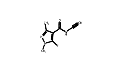 C#CNC(=O)c1c(C)nn(C)c1F